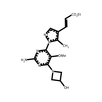 CCOC(=O)/C=C/c1cnn(-c2nc(N)nc(N3CC(O)C3)c2OC)c1C